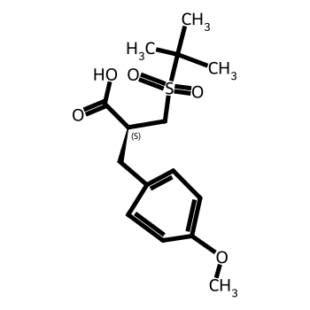 COc1ccc(C[C@H](CS(=O)(=O)C(C)(C)C)C(=O)O)cc1